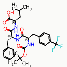 CC(C)C[C@@H](NC(=O)[C@@H](Cc1ccccc1)NC(=O)[C@@H](Cc1ccc(C(F)(F)F)cc1)NC(=O)OC(C)(C)C)C(=O)O